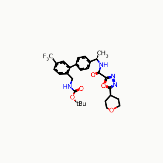 C[C@@H](NC(=O)c1nnc(C2CCOCC2)o1)c1ccc(-c2cc(C(F)(F)F)ccc2CNC(=O)OC(C)(C)C)cc1